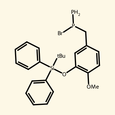 COc1ccc(CP(P)Br)cc1O[Si](c1ccccc1)(c1ccccc1)C(C)(C)C